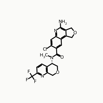 CN(C(=O)c1cc2c3c(c(N)nc2cc1Cl)COC3)[C@@H]1COCc2nc(C(F)(F)F)ccc21